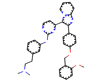 COc1ccccc1COc1ccc(-c2nc3ccccn3c2-c2ccnc(Nc3cccc(CCN(C)C)c3)n2)cc1